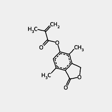 C=C(C)C(=O)Oc1cc(C)c2c(c1C)COC2=O